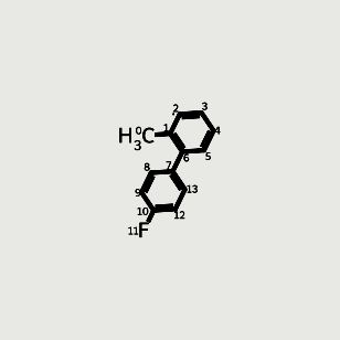 Cc1[c]cccc1-c1ccc(F)cc1